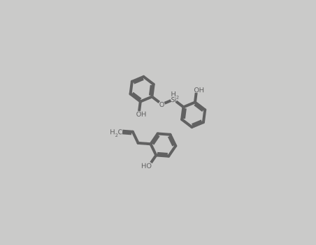 C=CCc1ccccc1O.Oc1ccccc1O[SiH2]c1ccccc1O